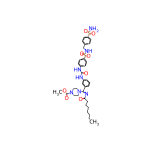 CCCCCCCC(=O)N=C(c1cccc(NC(=O)Nc2ccc(S(=O)(=O)NCc3ccc(S(N)(=O)=O)cc3)cc2)c1)N1CCN(C(=O)OC)CC1